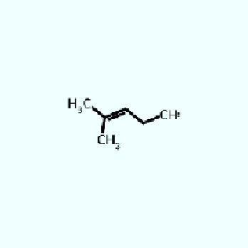 [CH]CC=C(C)C